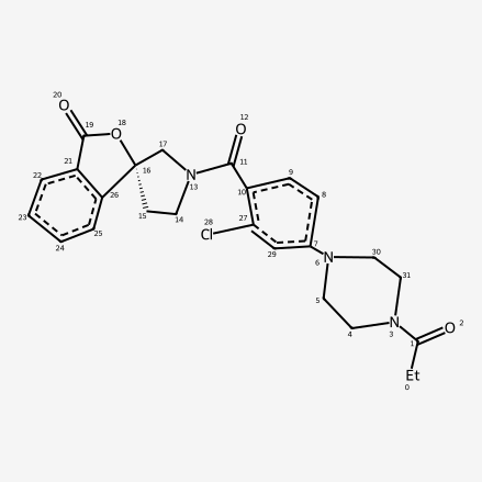 CCC(=O)N1CCN(c2ccc(C(=O)N3CC[C@@]4(C3)OC(=O)c3ccccc34)c(Cl)c2)CC1